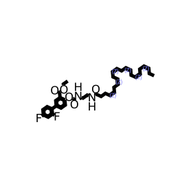 CC/C=C\C/C=C\C/C=C\C/C=C\C/C=C\C/C=C\CCC(=O)NCCNC(=O)Oc1ccc(-c2ccc(F)cc2F)cc1C(=O)OCC